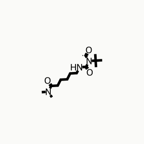 CN(C)C(=O)CCCCCNC(=O)N([C]=O)C(C)(C)C